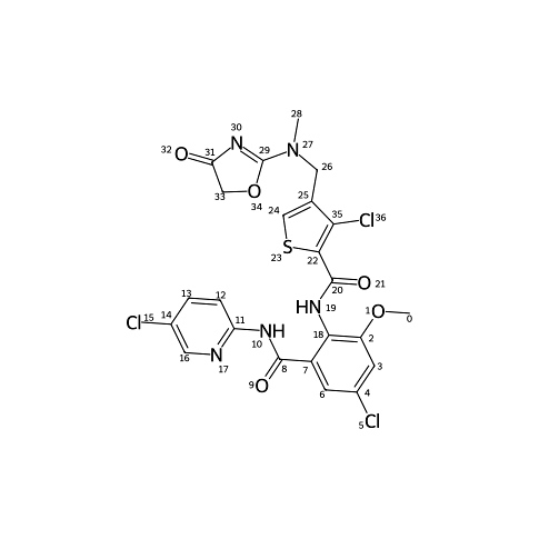 COc1cc(Cl)cc(C(=O)Nc2ccc(Cl)cn2)c1NC(=O)c1scc(CN(C)C2=NC(=O)CO2)c1Cl